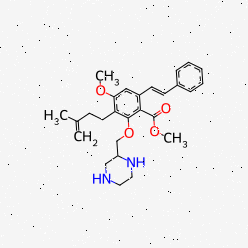 C=C(C)CCc1c(OC)cc(C=Cc2ccccc2)c(C(=O)OC)c1OCC1CNCCN1